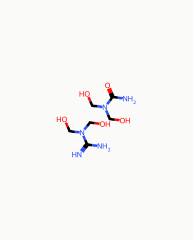 N=C(N)N(CO)CO.NC(=O)N(CO)CO